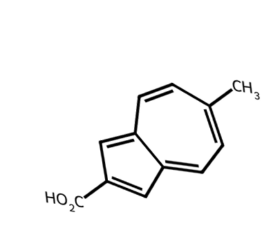 Cc1ccc2cc(C(=O)O)cc-2cc1